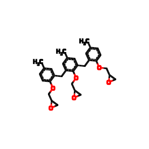 Cc1ccc(OCC2CO2)c(Cc2cc(C)cc(Cc3cc(C)ccc3OCC3CO3)c2OCC2CO2)c1